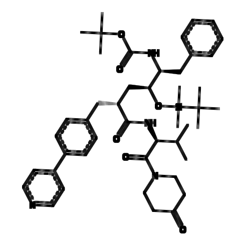 CC(C)[C@H](NC(=O)[C@H](Cc1ccc(-c2ccncc2)cc1)C[C@H](O[Si](C)(C)C(C)(C)C)[C@H](Cc1ccccc1)NC(=O)OC(C)(C)C)C(=O)N1CCC(=O)CC1